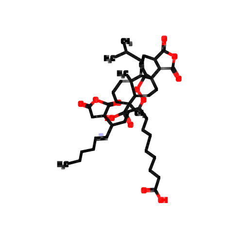 CCCC/C=C/C(CCC(CCCCCCCC(=O)O)OOC1CC(C(C)C)C2CC3C4(C)CCCC(C)(C(=O)O)C4CCC13C1C(=O)OC(=O)C21)C1CC(=O)OC1=O